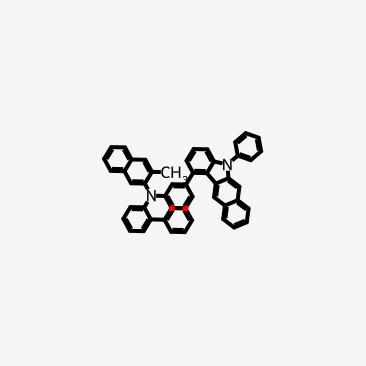 Cc1cc2ccccc2cc1N(c1cccc(-c2cccc3c2c2cc4ccccc4cc2n3-c2ccccc2)c1)c1ccccc1-c1ccccc1